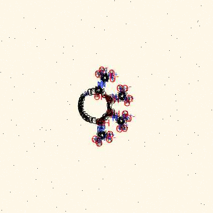 O=[N+]([O-])c1cc(N=Nc2cc3c(O)c(c2)Cc2cc(N=Nc4cc([N+](=O)[O-])cc([N+](=O)[O-])c4)cc(c2O)Cc2cc(N=Nc4cc([N+](=O)[O-])cc([N+](=O)[O-])c4)cc(c2O)Cc2cc(N=Nc4cc([N+](=O)[O-])cc([N+](=O)[O-])c4)cc(c2O)CCCCCCCCCCC/C=C\CC3)cc([N+](=O)[O-])c1